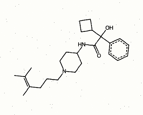 CC(C)=C(C)CCCN1CCC(NC(=O)C(O)(c2ccccc2)C2CCC2)CC1